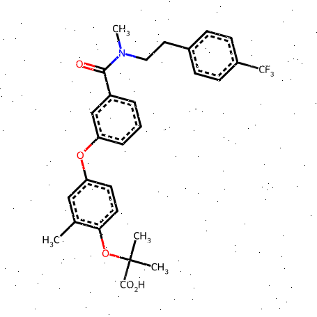 Cc1cc(Oc2cccc(C(=O)N(C)CCc3ccc(C(F)(F)F)cc3)c2)ccc1OC(C)(C)C(=O)O